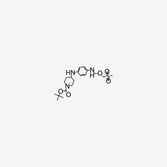 CC(C)(C)OC(=O)N1CCC(Nc2ccc(NCOCS(C)(=O)=O)cc2)CC1